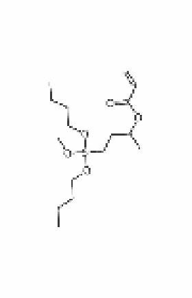 C=CC(=O)OC(C)CC[Si](OC)(OCCCC)OCCCC